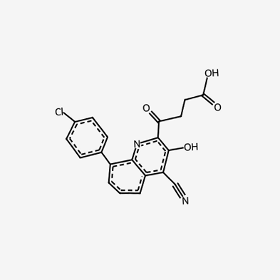 N#Cc1c(O)c(C(=O)CCC(=O)O)nc2c(-c3ccc(Cl)cc3)cccc12